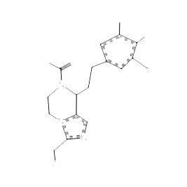 CCc1ncc2n1CCN(C(=O)O)C2CCc1cc(F)c(F)c(F)c1